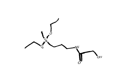 CCO[Si](C)(CCCNC(=O)CO)OCC